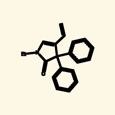 C=CC1=CN(CC)C(=O)C1(c1ccccc1)c1ccccc1